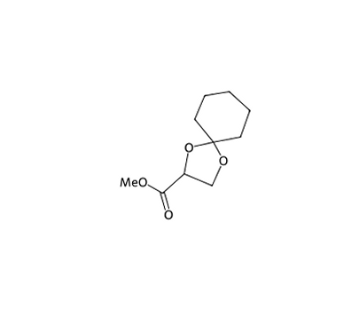 COC(=O)C1COC2(CCCCC2)O1